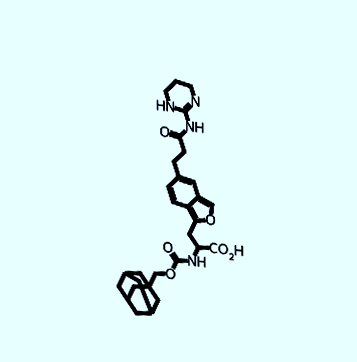 O=C(CCc1ccc2c(CC(NC(=O)OCC34CC5CC(CC(C5)C3)C4)C(=O)O)occ2c1)NC1=NCCCN1